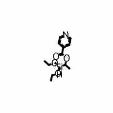 CCO[SiH](OCC)C(C)OC(=O)c1ccncc1